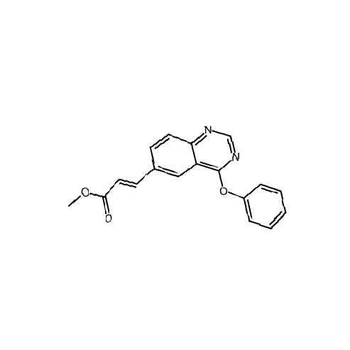 COC(=O)C=Cc1ccc2ncnc(Oc3ccccc3)c2c1